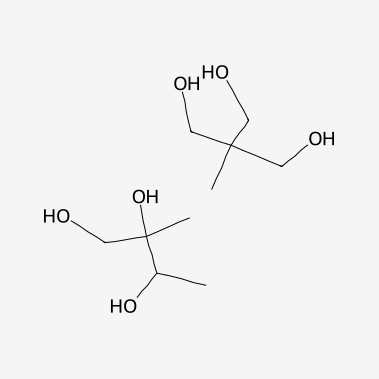 CC(CO)(CO)CO.CC(O)C(C)(O)CO